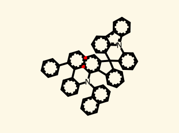 c1ccc(-c2ccccc2-c2ccccc2N(c2cccc3c2-c2ccccc2C32c3ccccc3-n3c4ccccc4c4cccc2c43)c2cccc3ccccc23)cc1